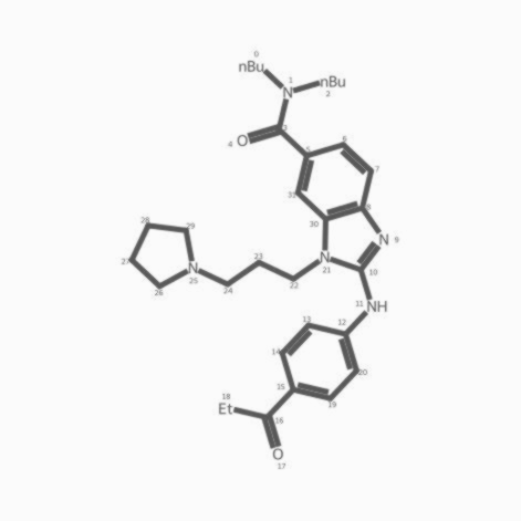 CCCCN(CCCC)C(=O)c1ccc2nc(Nc3ccc(C(=O)CC)cc3)n(CCCN3CCCC3)c2c1